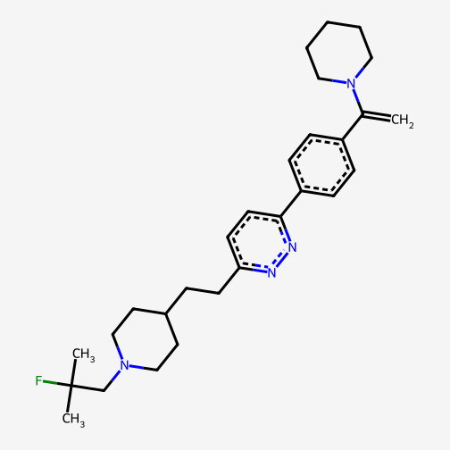 C=C(c1ccc(-c2ccc(CCC3CCN(CC(C)(C)F)CC3)nn2)cc1)N1CCCCC1